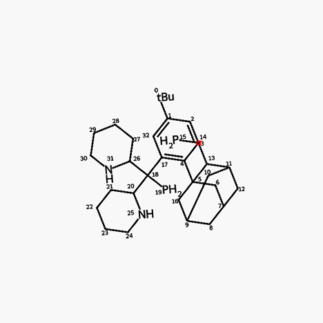 CC(C)(C)c1ccc(C23CC4CC(CC(C4)C2CP)C3)c(C(P)(C2CCCCN2)C2CCCCN2)c1